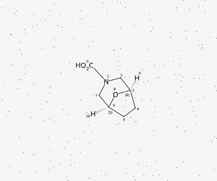 O=C(O)N1C[C@H]2CC[C@@H](C1)O2